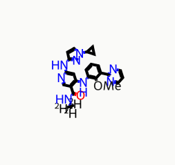 [2H]C([2H])([2H])NC(=O)c1cnc(Nc2ccn(C3CC3)n2)cc1Nc1cccc(-c2ncccn2)c1OC